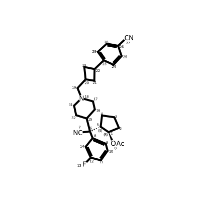 CC(=O)O[C@@H]1CCC[C@H]1C(C#N)(c1cccc(F)c1)C1CCN(CC2CC(c3ccc(C#N)cc3)C2)CC1